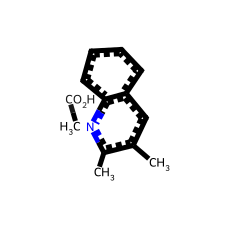 CC(=O)O.Cc1cc2ccccc2nc1C